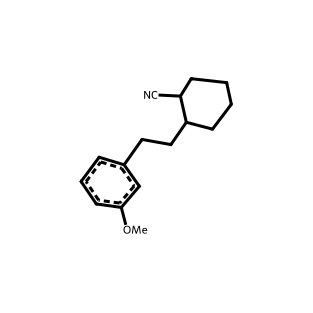 COc1cccc(CCC2CCCCC2C#N)c1